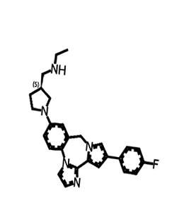 CCNC[C@@H]1CCN(c2ccc3c(c2)Cn2cc(-c4ccc(F)cc4)cc2-c2nccn2-3)C1